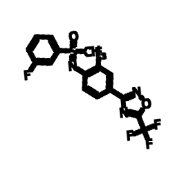 CS(=O)(=Nc1ccc(-c2noc(C(F)(F)F)n2)cc1F)c1cccc(F)c1